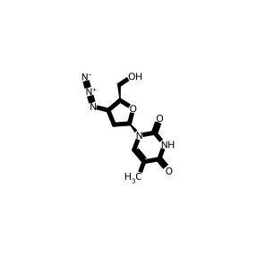 Cc1cn([C@H]2CC(N=[N+]=[N-])[C@@H](CO)O2)c(=O)[nH]c1=O